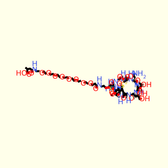 CC[C@H](C)[C@@H]1NC(=O)CCNC(=O)[C@@H]2Cc3c([nH]c4c(CSCCCCNC(=O)CCOCCOCCOCCOCCOCCOCCOCCOCCNC(=O)CC(C)C(=O)O)c(OC)ccc34)[S+]([O-])C[C@H](NC(=O)CNC1=O)C(=O)N[C@@H](CC(N)=O)C(=O)N1C[C@H](O)C[C@H]1C(=O)N[C@@H]([C@@H](C)[C@@H](O)CO)C(=O)N2